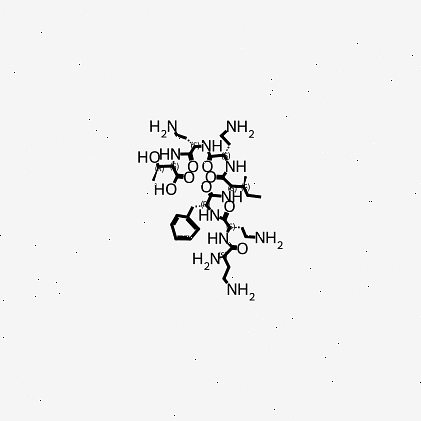 CC[C@H](C)[C@H](NC(=O)[C@@H](Cc1ccccc1)NC(=O)[C@H](CCN)NC(=O)[C@@H](N)CCN)C(=O)N[C@@H](CCN)C(=O)N[C@@H](CCN)C(=O)N[C@H](C(=O)O)[C@@H](C)O